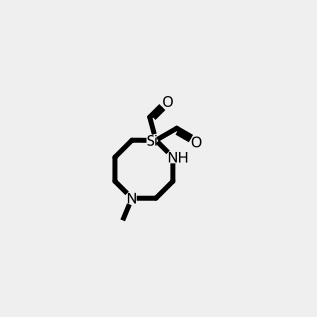 CN1CCC[Si](C=O)(C=O)NCC1